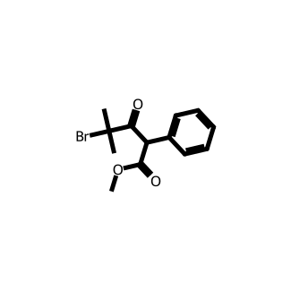 COC(=O)C(C(=O)C(C)(C)Br)c1ccccc1